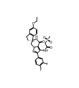 CCOc1ccc2c(c1)CC[C@]21Cn2nc(-c3ccc(F)c(F)c3)c(NC(=O)CS(C)(=O)=O)c2C(=O)N1